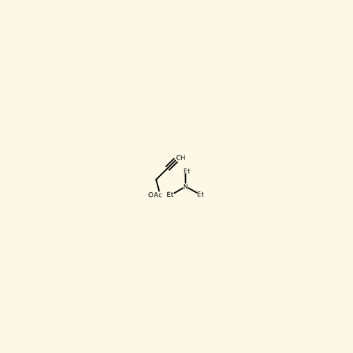 C#CCOC(C)=O.CCN(CC)CC